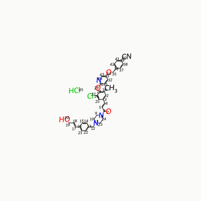 Cc1cc(C=CC(=O)N2CCN(Cc3ccc(C=CCO)cc3)CC2)cc(Cl)c1Oc1ccc(OCc2ccc(C#N)cc2)cn1.Cl